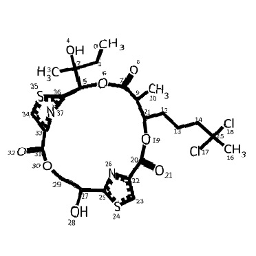 CCC(C)(O)C1OC(=O)C(C)C(CCCC(C)(Cl)Cl)OC(=O)c2csc(n2)C(O)COC(=O)c2csc1n2